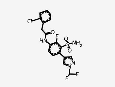 NS(=O)(=O)c1c(-c2cnn(C(F)F)c2)ccc(NC(=O)Cc2ccccc2Cl)c1F